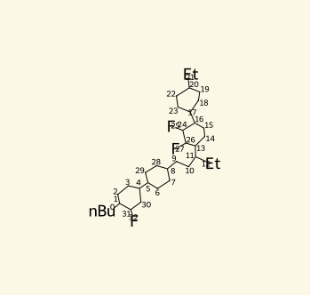 CCCCC1CCC(C2CCC(CCC(CC)C3CCC(C4CCC(CC)CC4)C(F)C3F)CC2)CC1F